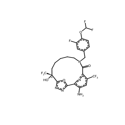 Nc1cc(C(F)(F)F)c2nc1-c1nnc(o1)[C@@](O)(C(F)(F)F)CCCCCN(Cc1ccc(OC(F)F)c(F)c1)C2=O